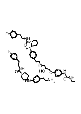 CCNC(=O)Nc1ccc(OC[C@@H](O)CNCCc2ccc(NC3CCCCN3C(=O)NCCc3ccc(F)cc3)cc2)cc1.NCCc1ccc(NC2CCN(C(=O)NCCc3ccc(F)cc3)CC2)cc1